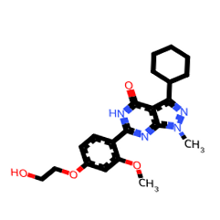 COc1cc(OCCO)ccc1-c1nc2c(c(C3CCCCC3)nn2C)c(=O)[nH]1